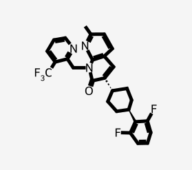 Cc1ccc2cc([C@H]3CC[C@H](c4c(F)cccc4F)CC3)c(=O)n(Cc3ncccc3C(F)(F)F)c2n1